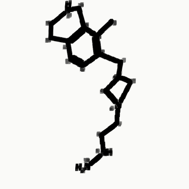 Cc1c(CC2CN(CCNN)C2)ccc2c1CBCC2